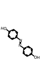 Oc1ccc(N=Nc2ccc(O)cc2)cc1